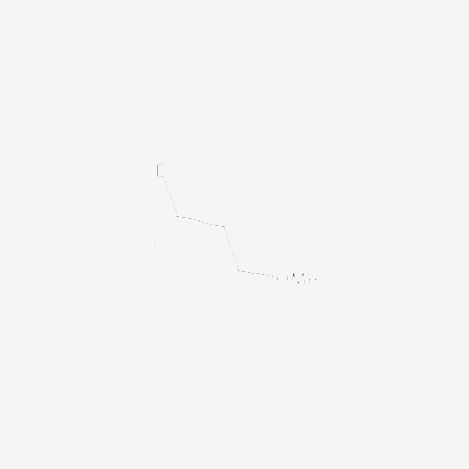 CCC(C)CC(C)OC